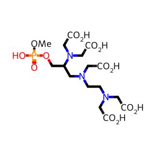 COP(=O)(O)OCC(CN(CCN(CC(=O)O)CC(=O)O)CC(=O)O)N(CC(=O)O)CC(=O)O